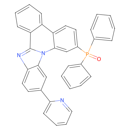 O=P(c1ccccc1)(c1ccccc1)c1ccc2c3ccccc3c3nc4ccc(-c5ccccn5)cc4n3c2c1